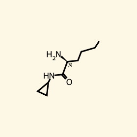 CCCC[C@H](N)C(=O)NC1CC1